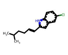 CC(C)CC/C=C/c1cc2cc(Cl)ccc2[nH]1